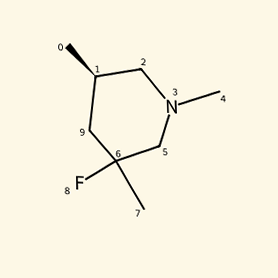 C[C@H]1CN(C)CC(C)(F)C1